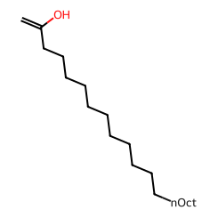 C=C(O)CCCCCCCCCCCCCCCCCCC